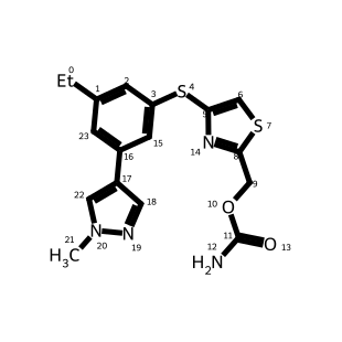 CCc1cc(Sc2csc(COC(N)=O)n2)cc(-c2cnn(C)c2)c1